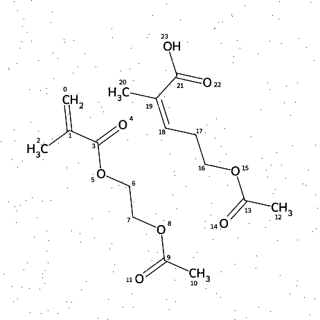 C=C(C)C(=O)OCCOC(C)=O.CC(=O)OCCC=C(C)C(=O)O